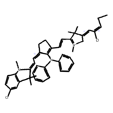 CC/C=C(Cl)\C=C1/C[N+](C)=C(C=CC2=C(N(c3ccccc3)c3ccccc3)/C(=C\C=C3N(C)c4ccc(Cl)cc4C3(C)C)CC2)C1(C)C